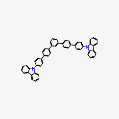 c1cc(-c2ccc(-c3ccc(-n4c5ccccc5c5ccccc54)cc3)cc2)cc(-c2ccc(-c3ccc(-n4c5ccccc5c5ccccc54)cc3)cc2)c1